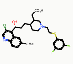 COc1ccc2ncc(Cl)c([C@H](O)CCC3CCN(CCSc4cc(F)cc(F)c4)CC3CC(=O)O)c2c1